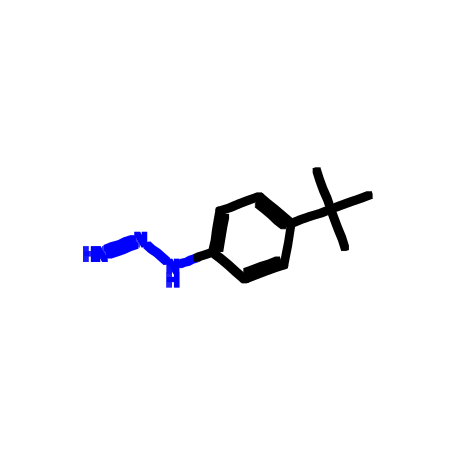 CC(C)(C)c1ccc(NN=N)cc1